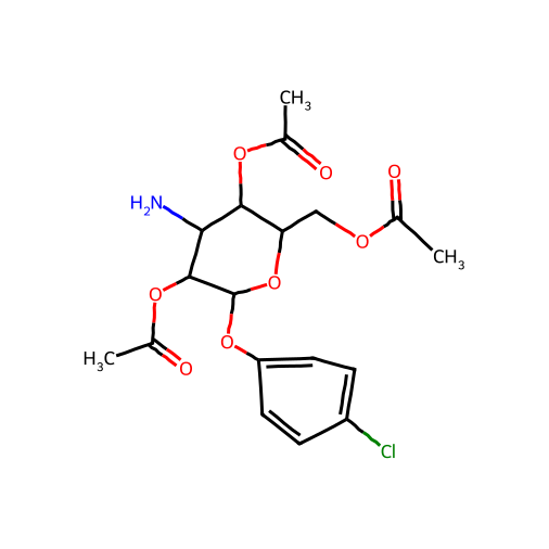 CC(=O)OCC1OC(Oc2ccc(Cl)cc2)C(OC(C)=O)C(N)C1OC(C)=O